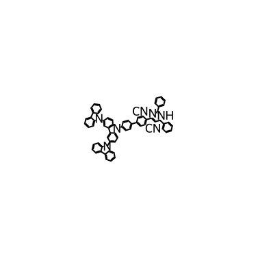 N#Cc1cc(-c2ccc(-n3c4ccc(-n5c6ccccc6c6ccccc65)cc4c4cc(-n5c6ccccc6c6ccccc65)ccc43)cc2)cc(C#N)c1C1=CC(c2ccccc2)NC(c2ccccc2)=N1